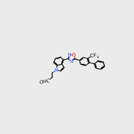 O=CCCn1ccc2c(-c3noc(-c4ccc(-c5ccccc5)c(C(F)(F)F)c4)n3)cccc21